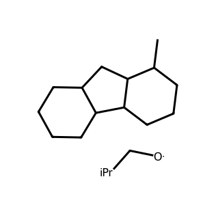 CC(C)C[O].CC1CCCC2C1CC1CCCCC12